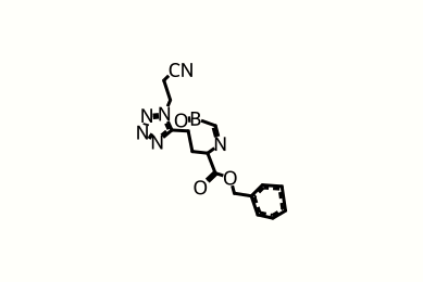 N#CCCn1nnnc1CCC(/N=C\B=O)C(=O)OCc1ccccc1